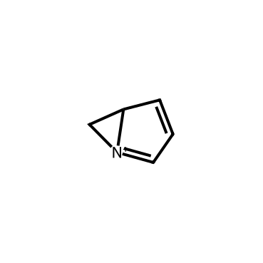 C1=CC2C[N+]2=C1